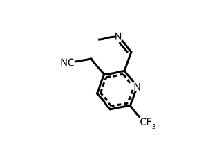 C/N=C\c1nc(C(F)(F)F)ccc1CC#N